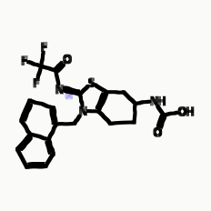 O=C(O)NC1CCc2c(s/c(=N\C(=O)C(F)(F)F)n2Cc2cccc3ccccc23)C1